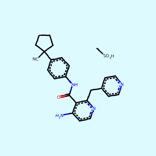 CS(=O)(=O)O.N#CC1(c2ccc(NC(=O)c3c(N)ccnc3Cc3ccncc3)cc2)CCCC1